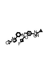 O=C(N(CC12CCC(c3nc(C4CC4)no3)(CC1)CC2)c1cccc(-c2ccn(C3COC3)n2)c1)C12CC(F)(C1)C2